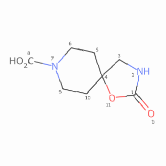 O=C1NCC2(CCN(C(=O)O)CC2)O1